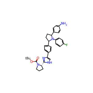 CC(C)(C)OC(=O)N1CCC[C@H]1c1nc(-c2ccc(C3CCC(c4ccc(N)cc4)N3c3ccc(F)cc3)cc2)c[nH]1